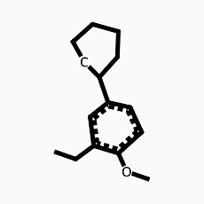 CCc1cc(C2CCCCC2)ccc1OC